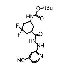 CC(C)(C)OC(=O)N[C@H]1C[C@@H](C(=O)NNc2cc(C#N)ccn2)CC(F)(F)C1